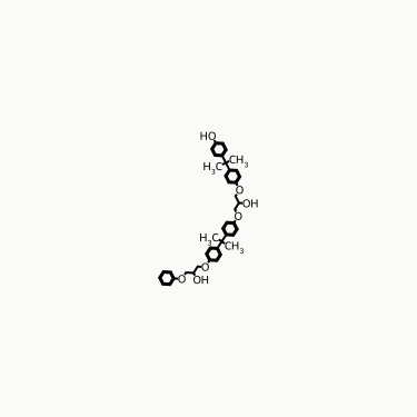 CC(C)(c1ccc(O)cc1)c1ccc(OCC(O)COc2ccc(C(C)(C)c3ccc(OCC(O)COc4ccccc4)cc3)cc2)cc1